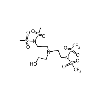 CS(=O)(=O)N(CCN(CCO)CCN(S(=O)(=O)C(F)(F)F)S(=O)(=O)C(F)(F)F)S(C)(=O)=O